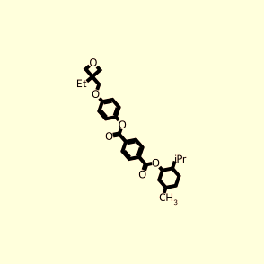 CCC1(COc2ccc(OC(=O)c3ccc(C(=O)OC4CC(C)CCC4C(C)C)cc3)cc2)COC1